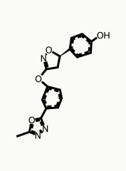 Cc1nnc(-c2cccc(OC3=NO[C@@H](c4ccc(O)cc4)C3)c2)o1